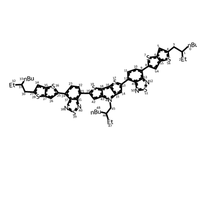 CCCCC(CC)Cc1cc2sc(-c3ccc(-c4cc5c(s4)c4sc(-c6ccc(-c7cc8sc(CC(CC)CCCC)cc8s7)c7nsnc67)cc4n5CC(CC)CCCC)c4nsnc34)cc2s1